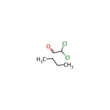 CCCC.O=CC(Cl)Cl